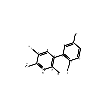 Cc1ccc(F)c(-c2cc(F)c(Cl)nc2C)c1